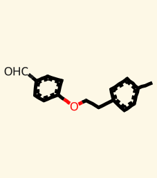 Cc1ccc(CCOc2ccc(C=O)cc2)cc1